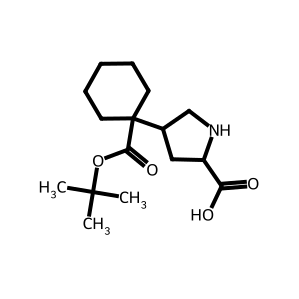 CC(C)(C)OC(=O)C1(C2CNC(C(=O)O)C2)CCCCC1